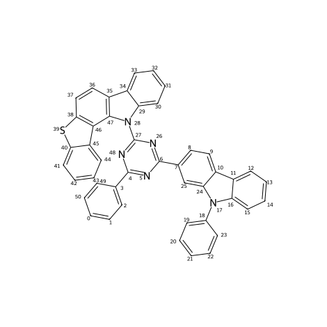 c1ccc(-c2nc(-c3ccc4c5ccccc5n(-c5ccccc5)c4c3)nc(-n3c4ccccc4c4ccc5sc6ccccc6c5c43)n2)cc1